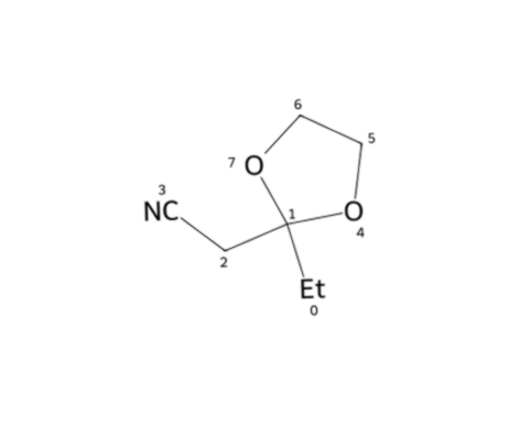 CCC1(CC#N)OCCO1